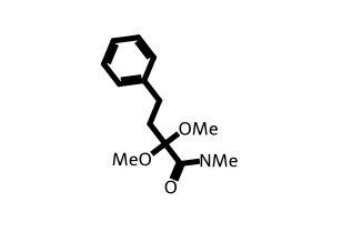 CNC(=O)C(CCc1ccccc1)(OC)OC